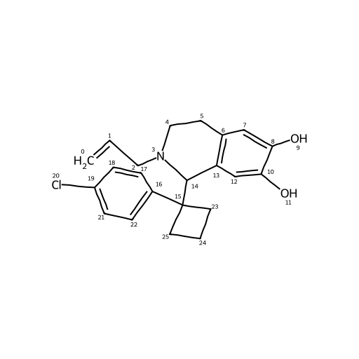 C=CCN1CCc2cc(O)c(O)cc2C1C1(c2ccc(Cl)cc2)CCC1